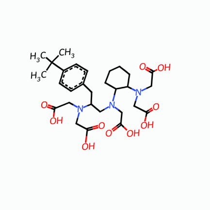 CC(C)(C)c1ccc(CC(CN(CC(=O)O)C2CCCCC2N(CC(=O)O)CC(=O)O)N(CC(=O)O)CC(=O)O)cc1